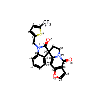 O=C1N(Cc2ccc(C(F)(F)F)s2)c2ccccc2C12CCn1c2cc2occc2c1=O